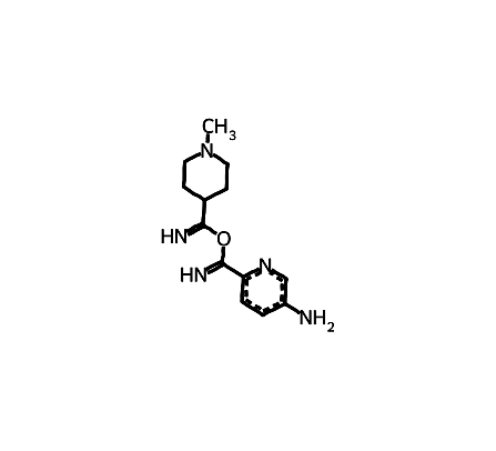 CN1CCC(C(=N)OC(=N)c2ccc(N)cn2)CC1